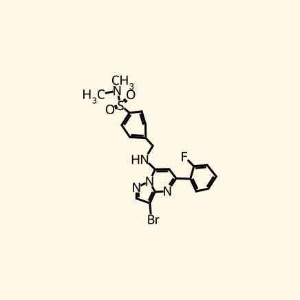 CN(C)S(=O)(=O)c1ccc(CNc2cc(-c3ccccc3F)nc3c(Br)cnn23)cc1